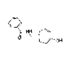 O=C(NC[C@@H]1CC=CC(O)=CC1)c1ccccc1